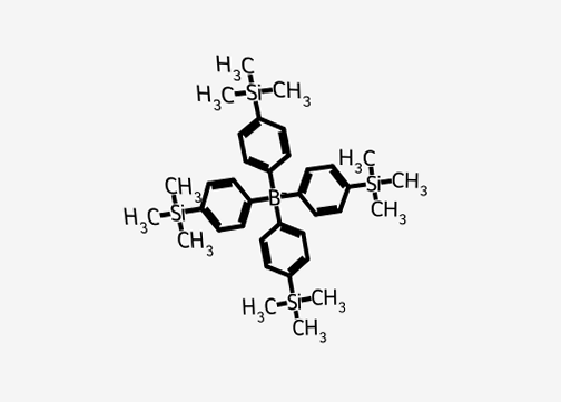 C[Si](C)(C)c1ccc([B-](c2ccc([Si](C)(C)C)cc2)(c2ccc([Si](C)(C)C)cc2)c2ccc([Si](C)(C)C)cc2)cc1